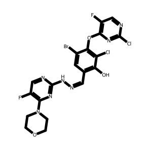 Oc1c(/C=N\Nc2ncc(F)c(N3CCOCC3)n2)cc(Br)c(Oc2nc(Cl)ncc2F)c1Cl